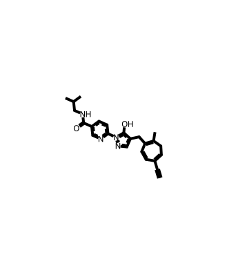 C#CC1=CCC(C)=C(Cc2cnn(-c3ccc(C(=O)NCC(C)C)cn3)c2O)C=C1